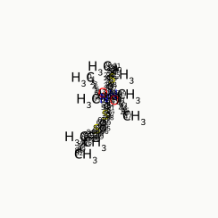 CCCCCCCCC(C)CN1C(=O)C2=C(c3ccc(-c4ccc(C(C)(CCC)C5CCC5)s4)cc3)N(CC(C)CCCCCCCC)C(=O)C2=C1c1ccc(-c2ccc(-c3ccc4c(ccc5c6ccc7cc(C(C)(C)CCCCCC)ccc7c6sc45)c3)s2)cc1